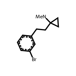 CNC1(CCc2cccc(Br)c2)CC1